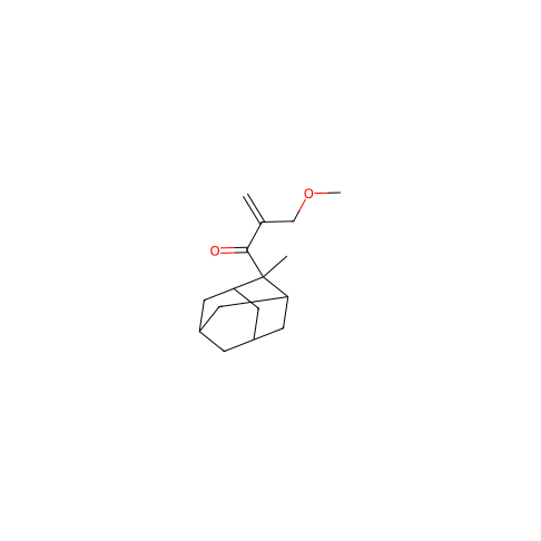 C=C(COC)C(=O)C1(C)C2CC3CC(C2)CC1C3